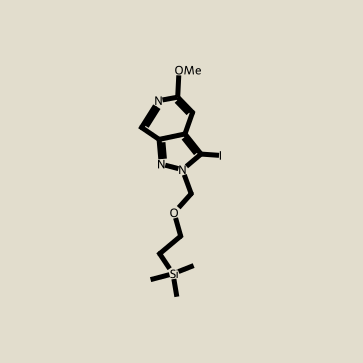 COc1cc2c(I)n(COCC[Si](C)(C)C)nc2cn1